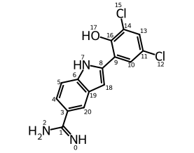 N=C(N)c1ccc2[nH]c(-c3cc(Cl)cc(Cl)c3O)cc2c1